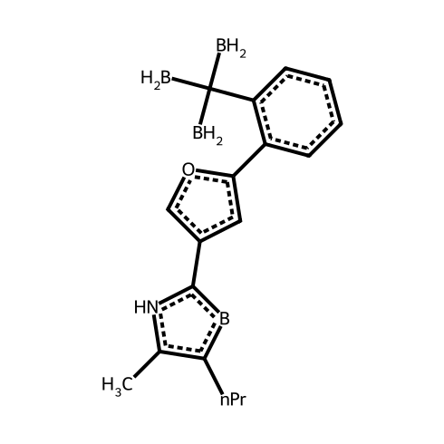 BC(B)(B)c1ccccc1-c1cc(-c2bc(CCC)c(C)[nH]2)co1